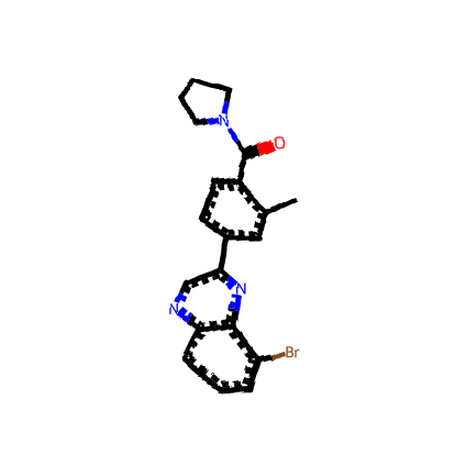 Cc1cc(-c2cnc3cccc(Br)c3n2)ccc1C(=O)N1CCCC1